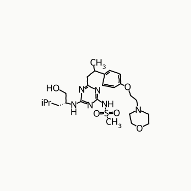 CC(C)C[C@H](CO)Nc1nc(CC(C)c2ccc(OCCN3CCOCC3)cc2)nc(NS(C)(=O)=O)n1